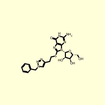 Nc1nc2c(nc(SCCc3cn(Cc4ccccc4)nn3)n2[C@@H]2O[C@H](CO)[C@@H](O)[C@H]2O)c(=O)[nH]1